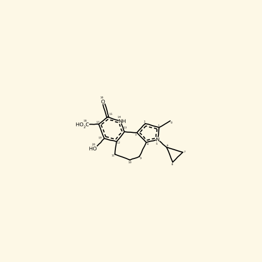 Cc1cc2c(n1C1CC1)CCCc1c-2[nH]c(=O)c(C(=O)O)c1O